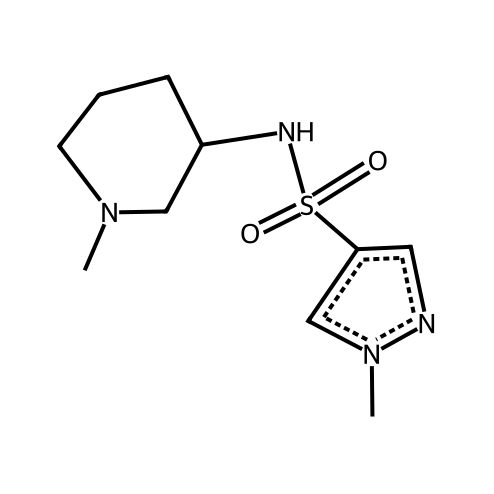 CN1CCCC(NS(=O)(=O)c2cnn(C)c2)C1